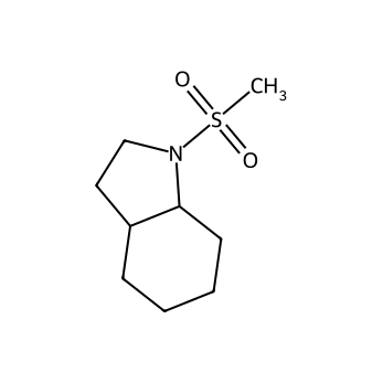 CS(=O)(=O)N1CCC2CCCCC21